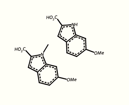 COc1ccc2cc(C(=O)O)[nH]c2c1.COc1ccc2cc(C(=O)O)n(C)c2c1